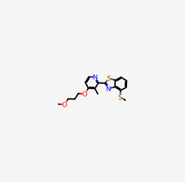 COCCCOc1ccnc(-c2nc3c(SC)cccc3s2)c1C